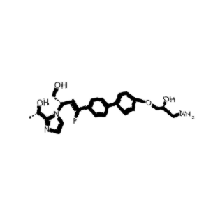 C[C@H](O)c1nccn1[C@@H](/C=C(\F)c1ccc(-c2ccc(OC[C@@H](O)CN)cc2)cc1)CO